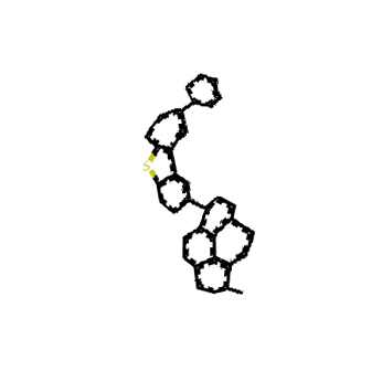 Cc1ccc2ccc3c(-c4ccc5sc6ccc(-c7ccccc7)cc6c5c4)ccc4ccc1c2c43